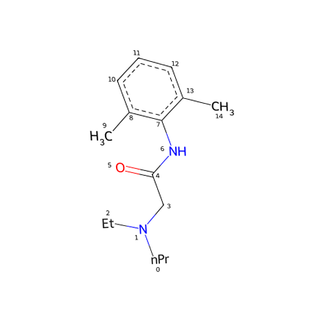 CCCN(CC)CC(=O)Nc1c(C)cccc1C